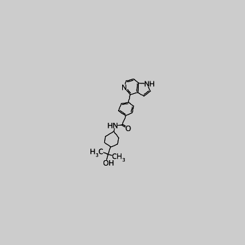 CC(C)(O)C1CCC(NC(=O)c2ccc(-c3nccc4[nH]ccc34)cc2)CC1